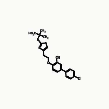 CC(C)(Sc1nc(CCOc2ncc(-c3ccc(Cl)cc3)cc2C#N)cs1)C(=O)O